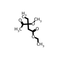 CCOC(=O)CC(CC)(OC)C(C)=O